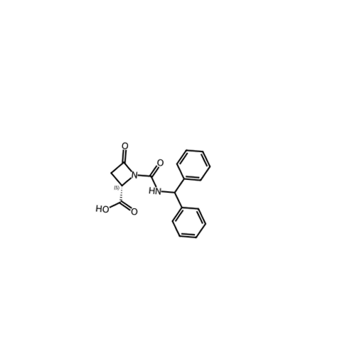 O=C(O)[C@@H]1CC(=O)N1C(=O)NC(c1ccccc1)c1ccccc1